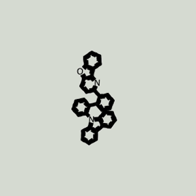 c1ccc(-c2ccccc2-n2c3ccccc3c3ccccc32)c(-c2ccc3oc4ccccc4c3n2)c1